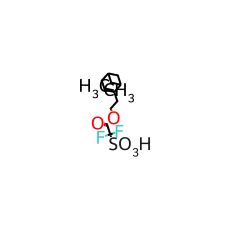 CC1(C)C2CC=C(CCOC(=O)C(F)(F)S(=O)(=O)O)C1C2